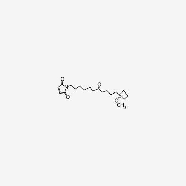 CO[Si]1(CCCCC(=O)CCCCCCN2C(=O)C=CC2=O)CCC1